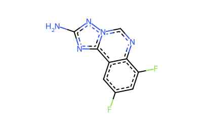 Nc1nc2c3cc(F)cc(F)c3ncn2n1